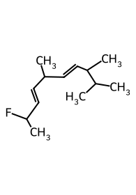 CC(F)C=CC(C)C=CC(C)C(C)C